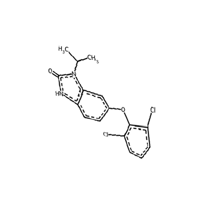 CC(C)n1c(=O)[nH]c2ccc(Oc3c(Cl)cccc3Cl)cc21